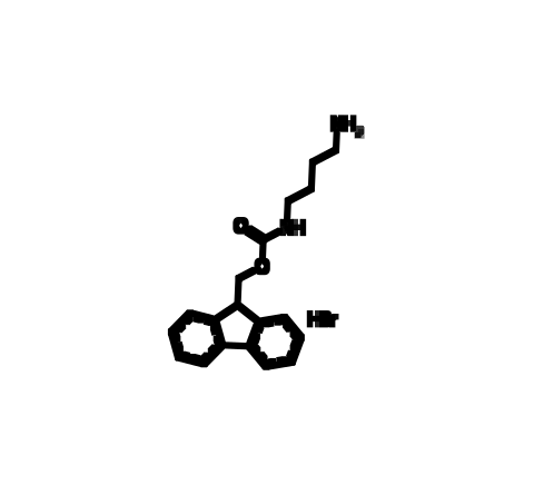 Br.NCCCCNC(=O)OCC1c2ccccc2-c2ccccc21